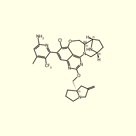 C=C1CN2CCC[C@@]2(COc2nc3c4c(c(Cl)c(-c5nc(N)cc(C)c5C(F)(F)F)cc4n2)OC[C@@H]2[C@@H]4CC[C@H](CN32)N4)C1